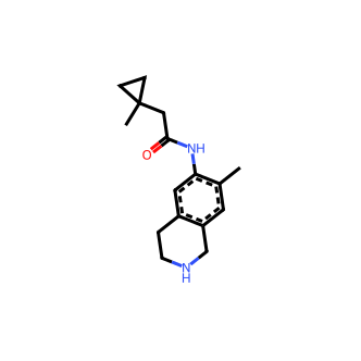 Cc1cc2c(cc1NC(=O)CC1(C)CC1)CCNC2